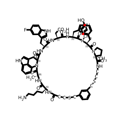 C[C@H]1NC(=O)[C@H](CCCCN)NC(=O)CCSCc2cccc(c2)CSCCNC(=O)[C@]2(C)CCCN2C(=O)[C@H](Cc2ccc(O)cc2)N(C)C(=O)[C@H](Cc2c[nH]cn2)NC(=O)[C@H](CC(=O)O)NC(=O)[C@H](Cc2c[nH]c3ccc(F)cc23)NC(=O)[C@@H]2Cc3c[nH]c4cccc(c34)N2C1=O